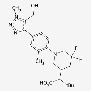 Cc1nc(-c2nnn(C)c2CO)ccc1N1CC(C(C(=O)O)C(C)(C)C)CC(F)(F)C1